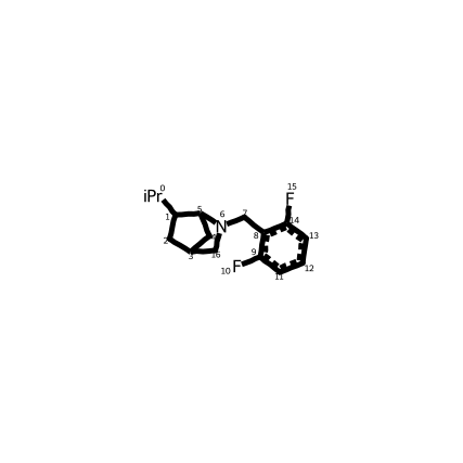 CC(C)C1CC2CC1N(Cc1c(F)cccc1F)C2